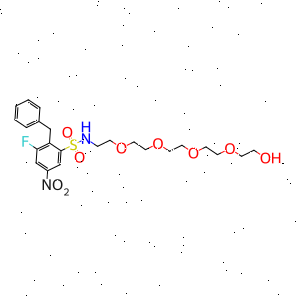 O=[N+]([O-])c1cc(F)c(Cc2ccccc2)c(S(=O)(=O)NCCOCCOCCOCCOCCO)c1